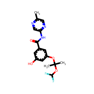 Cc1cnc(NC(=O)c2cc(O)cc(OC(C)(C)OC(F)F)c2)cn1